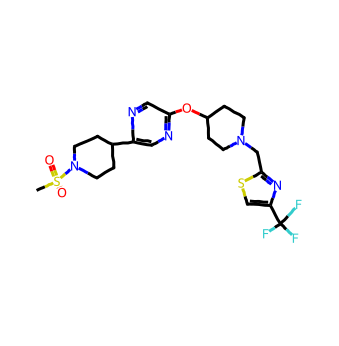 CS(=O)(=O)N1CCC(c2cnc(OC3CCN(Cc4nc(C(F)(F)F)cs4)CC3)cn2)CC1